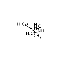 COCCOC1NC(=O)NCC1(C)C